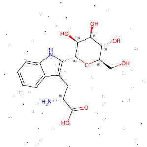 N[C@H](Cc1c([C@H]2O[C@H](CO)[C@@H](O)[C@H](O)[C@@H]2O)[nH]c2ccccc12)C(=O)O